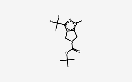 Cn1nc(C(F)(F)F)c2c1CN(C(=O)OC(C)(C)C)C2